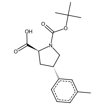 Cc1cccc([C@@H]2C[C@@H](C(=O)O)N(C(=O)OC(C)(C)C)C2)c1